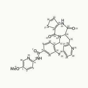 COc1ccc(NC(=O)c2ccc(CN3C(=O)c4sccc4NC(=O)C3Cc3ccccn3)c(F)c2)nc1